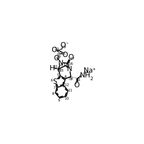 NC(=O)[C@@H]1c2c(sc3ccccc23)[C@H]2CN1C(=O)N2OS(=O)(=O)[O-].[Na+]